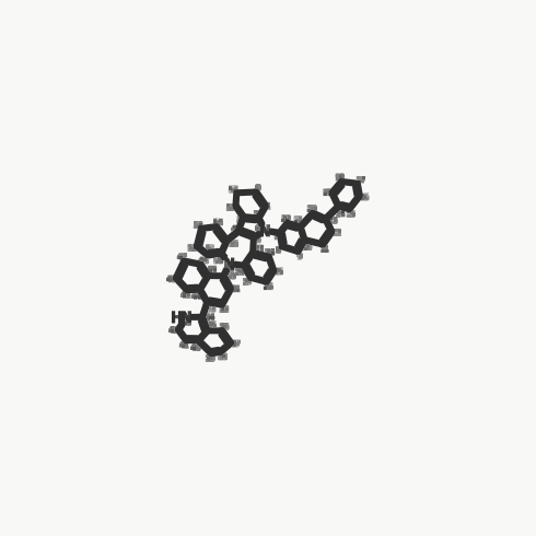 C1=Cc2c(c3c(n2-c2ccc4ccc(-c5ccccc5)cc4c2)-c2ccccc2N(c2ccc(C4=c5ccccc5=CCN4)c4ccccc24)c2ccccc2-3)CC1